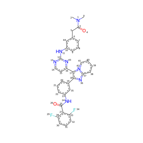 CN(C)C(=O)Cc1cccc(Nc2nccc(-c3c(-c4cccc(NC(=O)c5c(F)cccc5F)c4)nc4ccccn34)n2)c1